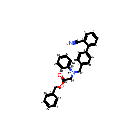 N#Cc1ccccc1-c1ccc(CN(CC(=O)OCc2ccccc2)c2ccccc2)cc1